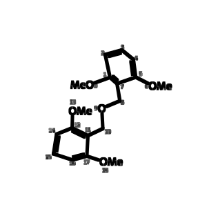 COc1cccc(OC)c1COCc1c(OC)cccc1OC